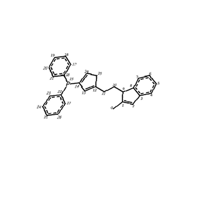 CC1=Cc2ccccc2C1CCC1=CC(P(c2ccccc2)c2ccccc2)=CC1